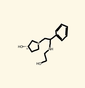 OCCNC(CN1CC[C@H](O)C1)c1ccccc1